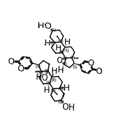 C[C@]12CC[C@H](O)C[C@H]1CC[C@@H]1[C@@H]2CC[C@]2(C)[C@@H](c3ccc(=O)oc3)CC[C@]12O.C[C@]12CC[C@H](O)C[C@H]1CC[C@@H]1[C@@H]2CC[C@]2(C)[C@@H](c3ccc(=O)oc3)C[C@H]3O[C@]132